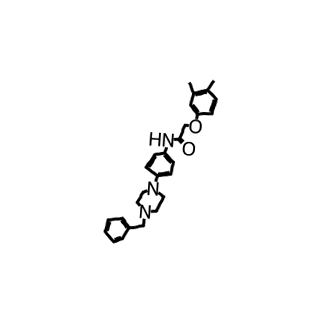 Cc1ccc(OCC(=O)Nc2ccc(N3CCN(Cc4ccccc4)CC3)cc2)cc1C